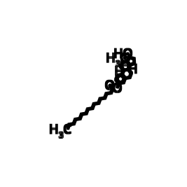 CCCCCCCCCCCCCCCC(=O)Oc1ccc2c(c1)CC[C@@H]1[C@@H]2CC[C@]2(C)[C@@H](O)CC[C@@H]12